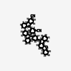 N#Cc1cc(-n2c3ccccc3c3cc(C#N)ccc32)cc([Si](c2ccccc2)(c2ccccc2)c2ccc(-n3c4ccccc4c4c5oc6ccccc6c5ccc43)cc2)c1